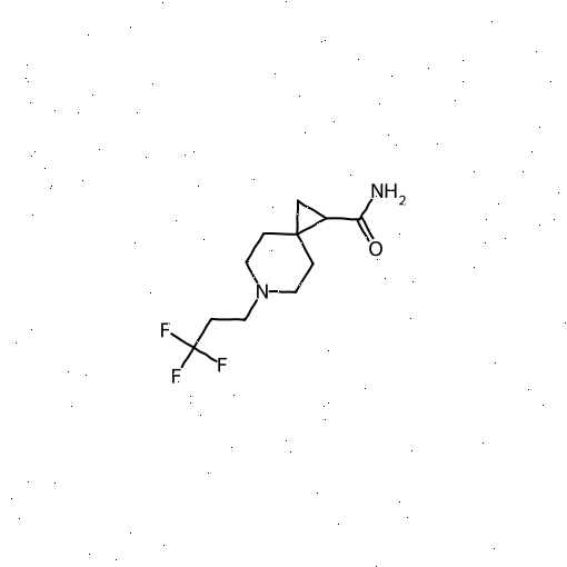 NC(=O)C1CC12CCN(CCC(F)(F)F)CC2